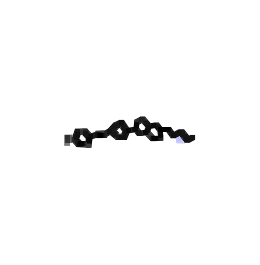 C/C=C/CCC1CCC2CC(c3ccc(C#Cc4ccc(F)cc4)cc3)CCC2C1